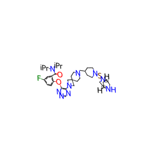 CC(C)N(C(=O)c1cc(F)ccc1Oc1nncnc1N1CC2(CCN(CC3CCN(SN4C[C@@H]5C[C@H]4CN5)CC3)CC2)C1)C(C)C